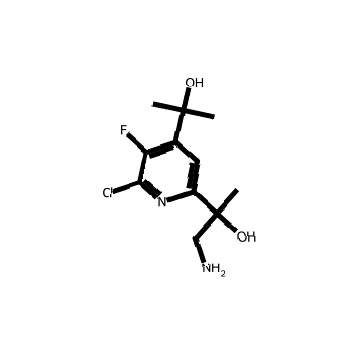 CC(C)(O)c1cc(C(C)(O)CN)nc(Cl)c1F